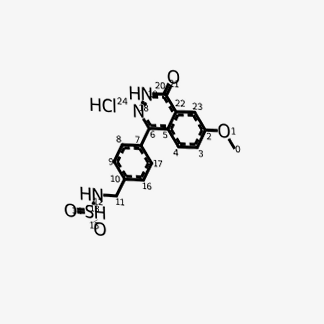 COc1ccc2c(-c3ccc(CN[SH](=O)=O)cc3)n[nH]c(=O)c2c1.Cl